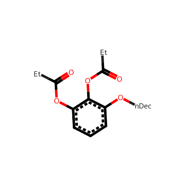 CCCCCCCCCCOc1cccc(OC(=O)CC)c1OC(=O)CC